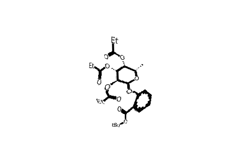 CCC(=O)O[C@@H]1[C@H](OC(=O)CC)[C@H](C)OC(Oc2ccccc2C(=O)OC(C)(C)C)[C@H]1OC(=O)CC